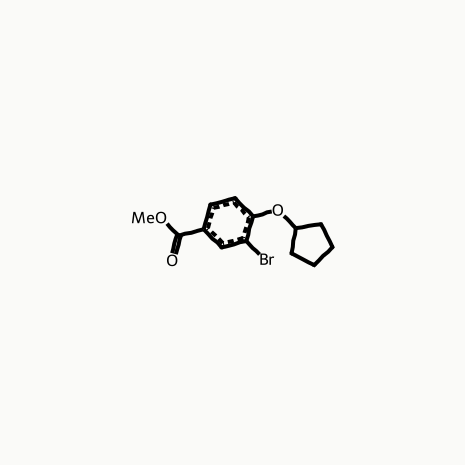 COC(=O)c1ccc(OC2CCCC2)c(Br)c1